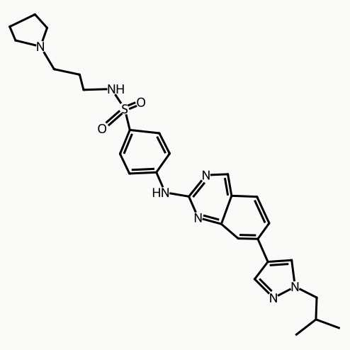 CC(C)Cn1cc(-c2ccc3cnc(Nc4ccc(S(=O)(=O)NCCCN5CCCC5)cc4)nc3c2)cn1